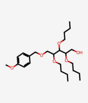 CCCCOC(CO)C(OCCCC)C(COCc1ccc(OC)cc1)OCCCC